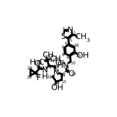 Cc1ncsc1-c1ccc(CNC(=O)[C@@H]2C[C@@H](O)CN2C(=O)[C@H](NC(=O)C2(F)CC2)C(C)(C)C)c(O)c1